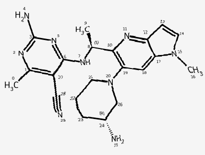 Cc1nc(N)nc(N[C@@H](C)c2nc3ccn(C)c3cc2N2CCC[C@@H](N)C2)c1C#N